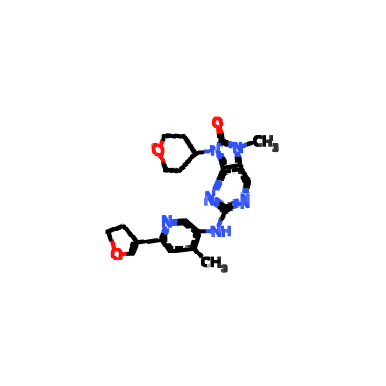 Cc1cc(C2=COCC2)ncc1Nc1ncc2c(n1)n(C1CCOCC1)c(=O)n2C